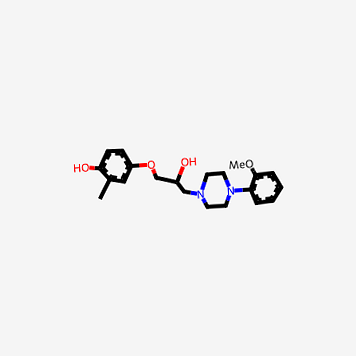 COc1ccccc1N1CCN(CC(O)COc2ccc(O)c(C)c2)CC1